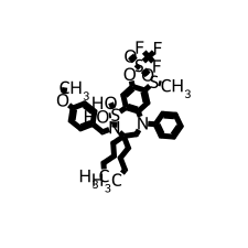 CCCCC1(CCCC)CN(c2ccccc2)c2cc(SC)c(OS(=O)(=O)C(F)(F)F)cc2S(O)(O)N1Cc1ccc(OC)cc1